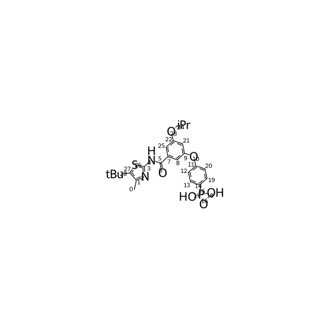 Cc1nc(NC(=O)c2cc(Oc3ccc(P(=O)(O)O)cc3)cc(OC(C)C)c2)sc1C(C)(C)C